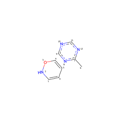 C1=CNOC=C1.Cc1ncncn1